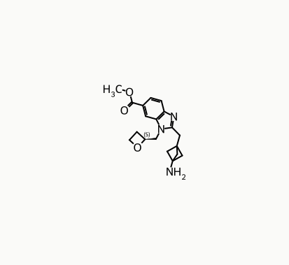 COC(=O)c1ccc2nc(CC34CC(N)(C3)C4)n(C[C@@H]3CCO3)c2c1